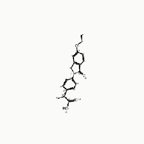 CCOc1ccc2c(c1)CN(c1ccc(C(C)C(=O)O)cc1)C2=O